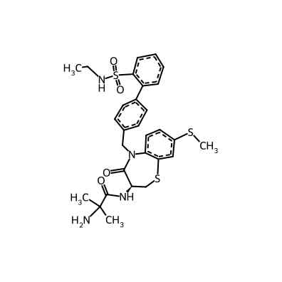 CCNS(=O)(=O)c1ccccc1-c1ccc(CN2C(=O)[C@H](NC(=O)C(C)(C)N)CSc3cc(SC)ccc32)cc1